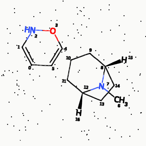 C1=CNOC=C1.CN1[C@@H]2CCC[C@H]1CC2